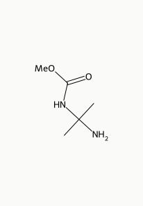 COC(=O)NC(C)(C)N